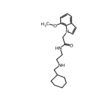 COc1cccc2ccn(CC(=O)NCCNCC3CCCCC3)c12